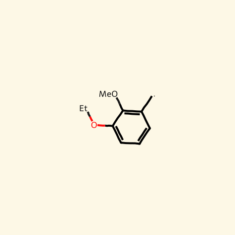 [CH2]c1cccc(OCC)c1OC